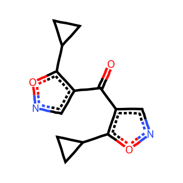 O=C(c1cnoc1C1CC1)c1cnoc1C1CC1